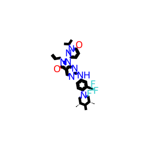 C=CCn1c(=O)c2cnc(Nc3ccc(N4C[C@@H](C)C(C)[C@@H](C)C4)c(C(F)(F)F)c3)nc2n1-c1ccc(=O)n(C(C)C)n1